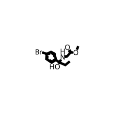 CCC(O)(NCC(=O)OC)c1ccc(Br)cc1